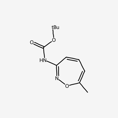 CC1=CC=CC(NC(=O)OC(C)(C)C)=NO1